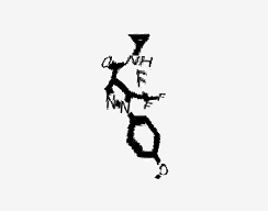 COc1ccc(-n2ncc(C(=O)NC3CC3)c2C(F)(F)F)cc1